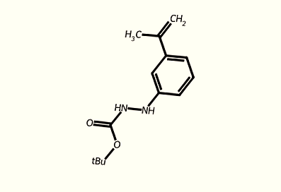 C=C(C)c1cccc(NNC(=O)OC(C)(C)C)c1